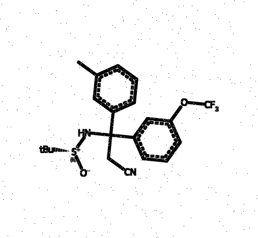 Cc1cccc(C(CC#N)(N[S@+]([O-])C(C)(C)C)c2cccc(OC(F)(F)F)c2)c1